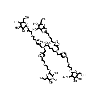 CC(=O)NC1C(OCCOCCn2cc(CN(CCCC[C@@H](C(=O)O)N(Cc3cn(CCOCCOC4OC(CO)C(O)C(O)C4NC(C)=O)nn3)Cc3cn(CCOCCOC4OC(CO)C(O)N(C(C)=O)C4O)nn3)Cc3cn(CCOCCOC4OC(CO)C(O)C(O)C4NC(C)=O)nn3)nn2)OC(CO)C(O)C1O